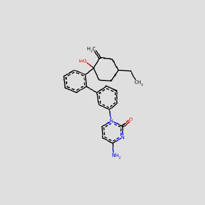 C=C1CC(CC)CCC1(O)c1ccccc1-c1cccc(-n2ccc(N)nc2=O)c1